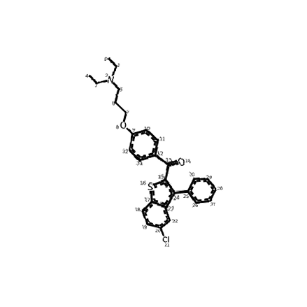 CCN(CC)CCCOc1ccc(C(=O)c2sc3ccc(Cl)cc3c2-c2ccccc2)cc1